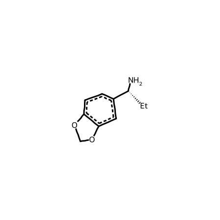 CC[C@@H](N)c1ccc2c(c1)OCO2